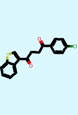 O=C(CCC(=O)c1csc2ccccc12)c1ccc(Cl)cc1